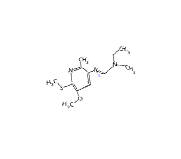 CCN(C)/C=N/c1cc(OC)c(SC)nc1C